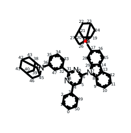 c1ccc(-c2cc(-n3c4ccccc4c4ccc(N5C6CC7CC(C6)CC5C7)cc43)nc(-c3cccc(N4C5CC6CC(C5)CC4C6)c3)n2)cc1